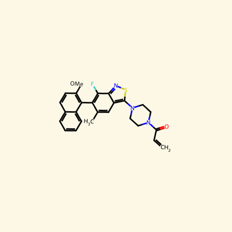 C=CC(=O)N1CCN(c2snc3c(F)c(-c4c(OC)ccc5ccccc45)c(C)cc23)CC1